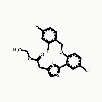 CCOC(=O)Cc1csc(-c2cc(Cl)ccc2OCc2ccc(F)cc2F)n1